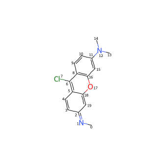 C/N=c1/ccc2c(Cl)c3ccc(N(C)C)cc3oc-2c1